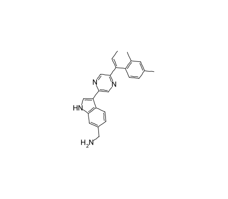 C/C=C(/c1cnc(-c2c[nH]c3cc(CN)ccc23)cn1)c1ccc(C)cc1C